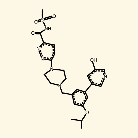 CC(C)Oc1cc(CN2CCN(c3ccc(C(=O)NS(C)(=O)=O)nn3)CC2)cc(-c2cncc(O)c2)c1